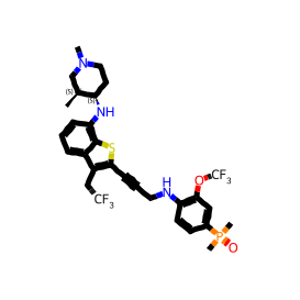 C[C@H]1CN(C)CC[C@@H]1Nc1cccc2c(CC(F)(F)F)c(C#CCNc3ccc(P(C)(C)=O)cc3OC(F)(F)F)sc12